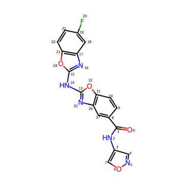 O=C(Nc1cnoc1)c1ccc2oc(Nc3nc4cc(F)ccc4o3)nc2c1